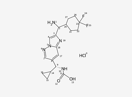 Cl.NC(c1cn2ncc([C@H](NC(=O)O)C3CC3)cc2n1)C1CCC(F)(F)CC1